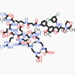 COc1cc2c(cc1-c1cccc(NC(=O)CCC(=O)NCCCC[C@@H](NC(=O)[C@@H](CCC(=O)O)NC(=O)[C@@H](CCCNC(=N)N)NC(=O)[C@@H](CCC(=O)O)NC(=O)[C@@H](CCCNC(=N)N)NC(=O)[C@@H](C)NC(=O)CN3CCN(CC(=O)O)CCN(CC(=O)O)CCN(CC(=O)O)CC3)C(=O)N[C@H](C)C(N)=O)c1)-c1c(c(C(=O)N3CCOCC3(C)C)nn1-c1cc(Cl)cc(Cl)c1)CO2